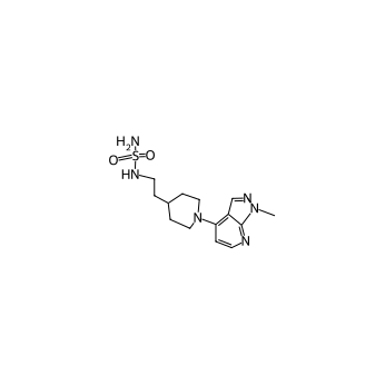 Cn1ncc2c(N3CCC(CCNS(N)(=O)=O)CC3)ccnc21